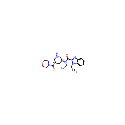 CC(C)CN(C(=O)c1nc2ccccc2n1CC(F)(F)F)[C@@H]1CNC[C@H](C(=O)N2CCOCC2)C1